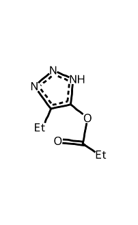 CCC(=O)Oc1[nH]nnc1CC